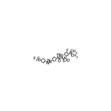 CC(C)c1cc(F)c(N(C)C)cc1N1C(=O)CS/C1=N\C(=O)Nc1ccc(-n2cnc(-c3ccc(OC(F)(F)F)cc3)n2)cc1